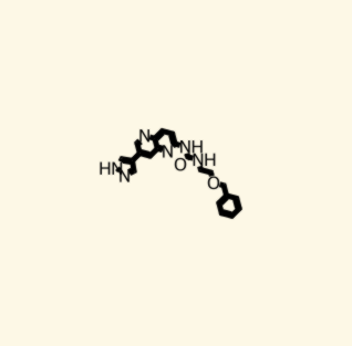 O=C(NCCOCc1ccccc1)Nc1ccc2ncc(-c3cn[nH]c3)cc2n1